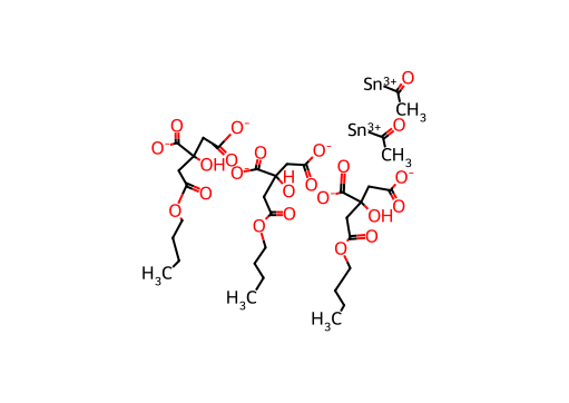 CCCCOC(=O)CC(O)(CC(=O)[O-])C(=O)[O-].CCCCOC(=O)CC(O)(CC(=O)[O-])C(=O)[O-].CCCCOC(=O)CC(O)(CC(=O)[O-])C(=O)[O-].C[C](=O)[Sn+3].C[C](=O)[Sn+3]